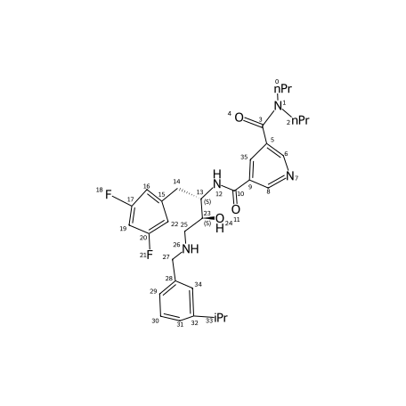 CCCN(CCC)C(=O)c1cncc(C(=O)N[C@@H](Cc2cc(F)cc(F)c2)[C@@H](O)CNCc2cccc(C(C)C)c2)c1